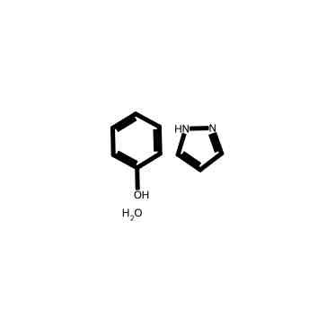 O.Oc1ccccc1.c1cn[nH]c1